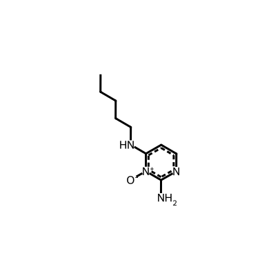 CCCCCNc1ccnc(N)[n+]1[O-]